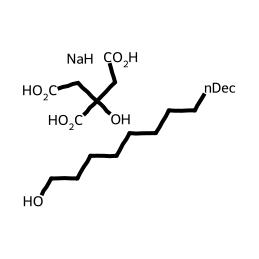 CCCCCCCCCCCCCCCCCCO.O=C(O)CC(O)(CC(=O)O)C(=O)O.[NaH]